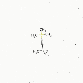 CC1(C#CS(C)(C)C)CC1